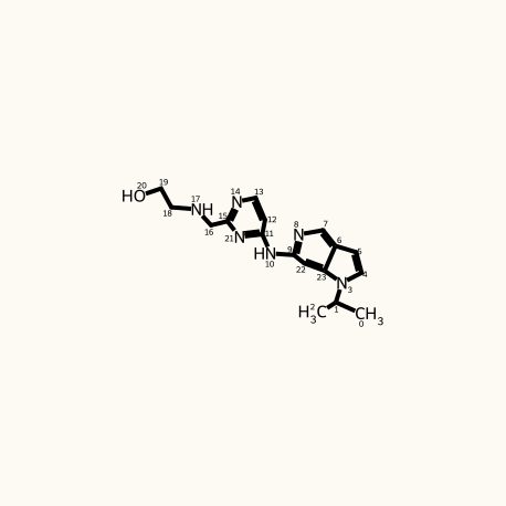 CC(C)n1ccc2cnc(Nc3ccnc(CNCCO)n3)cc21